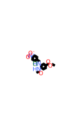 CCOC(=O)c1ccc(NC(C)=O)c(NCc2ccc([N+](=O)[O-])cc2Cl)c1